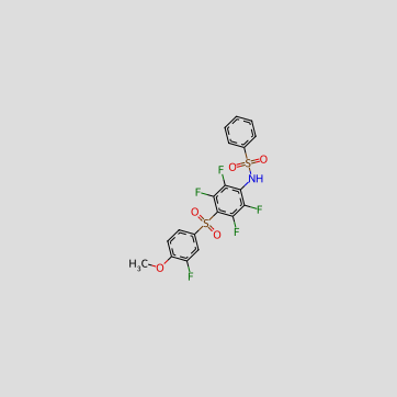 COc1ccc(S(=O)(=O)c2c(F)c(F)c(NS(=O)(=O)c3ccccc3)c(F)c2F)cc1F